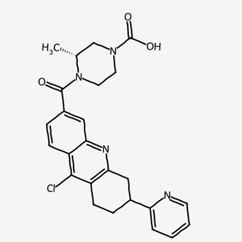 C[C@@H]1CN(C(=O)O)CCN1C(=O)c1ccc2c(Cl)c3c(nc2c1)CC(c1ccccn1)CC3